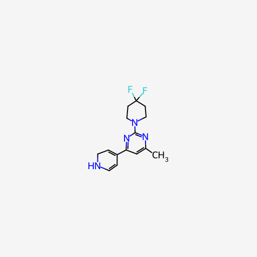 Cc1cc(C2=CCNC=C2)nc(N2CCC(F)(F)CC2)n1